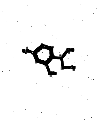 COc1cc([N+](=O)[O-])ccc1N(C=O)CC(C)=O